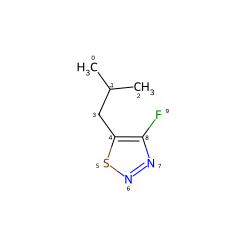 C[C](C)Cc1snnc1F